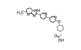 Cc1ccc2[nH]c(-c3ccc(-c4ccc(O[C@H]5CC[C@@H](CC(=O)O)CC5)nc4)nc3)nc2n1